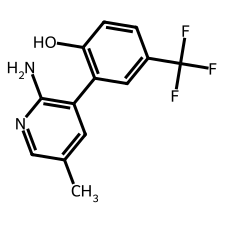 Cc1cnc(N)c(-c2cc(C(F)(F)F)ccc2O)c1